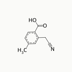 Cc1ccc(C(=O)O)c(CC#N)c1